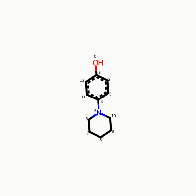 Oc1ccc(N2CC[CH]CC2)cc1